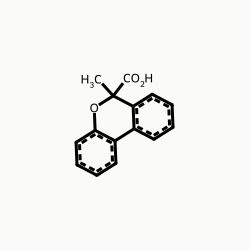 CC1(C(=O)O)Oc2ccccc2-c2ccccc21